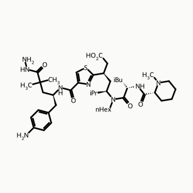 CCCCCCN(C(=O)[C@@H](NC(=O)[C@H]1CCCCN1C)[C@@H](C)CC)[C@H](C[C@H](CC(=O)O)c1nc(C(=O)N[C@@H](Cc2ccc(N)cc2)CC(C)(C)C(=O)NN)cs1)C(C)C